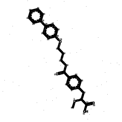 COC(Cc1ccc(C(=O)CCCCOc2ccc(-c3ccccc3)cc2)cc1)C(=O)O